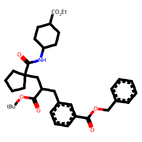 CCOC(=O)C1CCC(NC(=O)C2(CC(Cc3cccc(C(=O)OCc4ccccc4)c3)C(=O)OC(C)(C)C)CCCC2)CC1